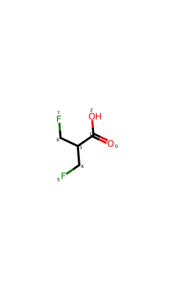 O=C(O)C(CF)CF